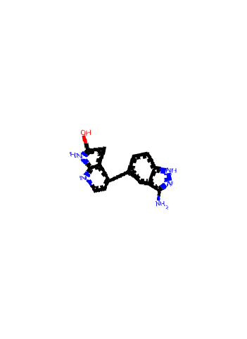 Nc1n[nH]c2ccc(-c3ccnc4[nH]c(O)cc34)cc12